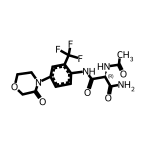 CC(=O)N[C@H](C(N)=O)C(=O)Nc1ccc(N2CCOCC2=O)cc1C(F)(F)F